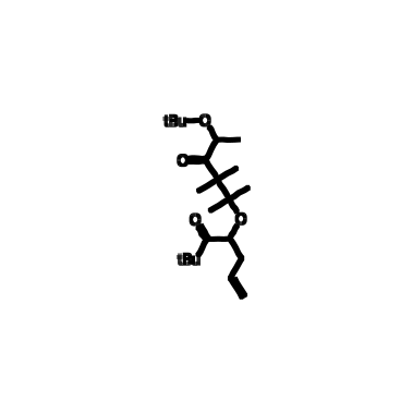 C=CCC(OC(C)(C)C(C)(C)C(=O)C(C)OC(C)(C)C)C(=O)C(C)(C)C